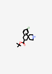 CC(C)(C)OC(=O)C1CC2C=CC(Cl)=CC2(C)C2(CCNCC2)C1